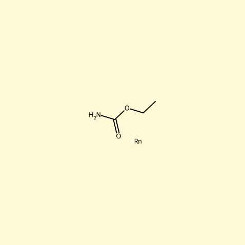 CCOC(N)=O.[Rn]